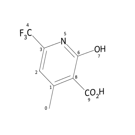 Cc1cc(C(F)(F)F)nc(O)c1C(=O)O